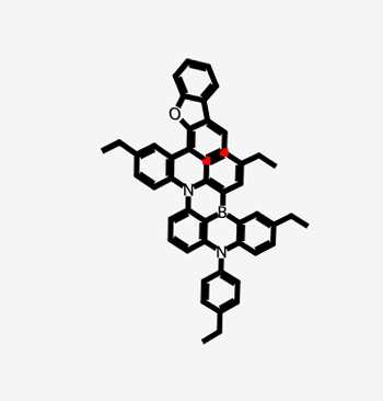 CCc1ccc(N2c3ccc(CC)cc3B3c4cc(CC)ccc4N(c4ccc(CC)cc4-c4cccc5c4oc4ccccc45)c4cccc2c43)cc1